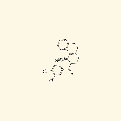 [N-]=[N+]=C1C2=C(CCc3ccccc32)CCC1C(=S)c1ccc(Cl)c(Cl)c1